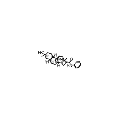 C[C@@]1(O)CC[C@H]2[C@H](CC[C@@H]3[C@@H]2CC[C@]2(C)[C@H](C(=O)Nc4ccccc4)C[C@@H]32)C1